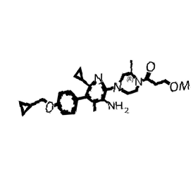 COCCC(=O)N1CCN(c2nc(C3CC3)c(-c3ccc(OCC4CC4)cc3)c(C)c2N)C[C@H]1C